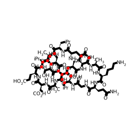 CC(C)C[C@H](NC(=O)CNC(=O)[C@H](CCC(N)=O)NC(=O)[C@H](CCCCN)NC(=O)[C@H](C)NC(=O)[C@H](CC(C)C)NC(=O)[C@H](CO)NC(=O)[C@H](C)NC(=O)[C@H](CO)NC(=O)[C@@H](NC(=O)[C@H](CCC(=O)O)NC(=O)[C@H](CC(=O)O)NC(=O)[C@H](C)NC(=O)[C@H](CC(C)C)NC(=O)[C@@H](NC(=O)[C@H](C)NC(=O)[C@H](CC(C)C)NC(=O)[C@@H](N)CCC(N)=O)[C@@H](C)O)C(C)C)C(=O)O